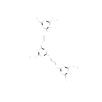 CNc1nc(N)nc(SCCSc2nc(N)nc(SCCSc3nc(N)nc(SC)n3)n2)n1